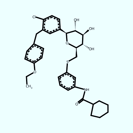 CCOc1ccc(Cc2cc([C@@H]3O[C@H](CSc4cccc(NC(=O)C5CCCCC5)c4)[C@@H](O)[C@H](O)[C@H]3O)ccc2Cl)cc1